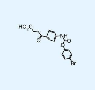 O=C(O)CCC(=O)c1ccc(NC(=O)Oc2ccc(Br)cc2)cc1